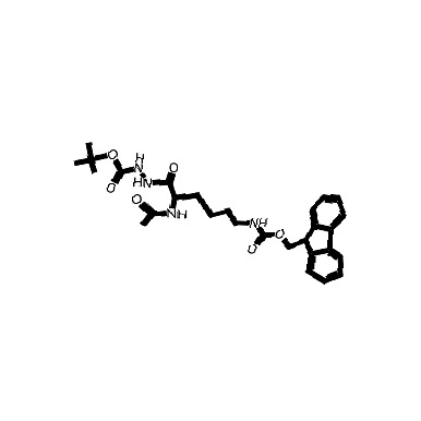 CC(=O)NC(CCCCNC(=O)OCC1c2ccccc2-c2ccccc21)C(=O)NNC(=O)OC(C)(C)C